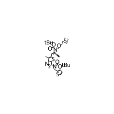 C#C[C@@H](Cc1sc2c(N(Cc3cccs3)C(=O)OC(C)(C)C)snc2c1C)N(COCC[Si](C)(C)C)C(=O)OC(C)(C)C